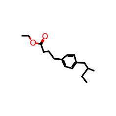 CCOC(=O)CCCc1ccc(CC(C)CC)cc1